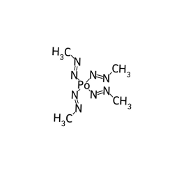 CN=[N][Po]([N]=NC)([N]=NC)[N]=NC